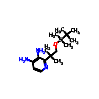 CC(C)(CO[Si](C)(C)C(C)(C)C)c1nccc(N)c1N